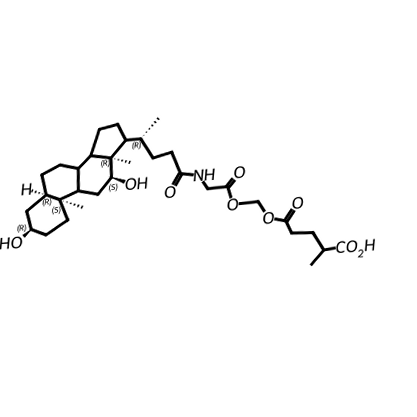 CC(CCC(=O)OCOC(=O)CNC(=O)CC[C@@H](C)C1CCC2C3CC[C@@H]4C[C@H](O)CC[C@]4(C)C3C[C@H](O)[C@@]21C)C(=O)O